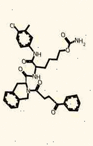 Cc1cc(NC(=O)C(CCCCOC(N)=O)NC(=O)[C@@H]2Cc3ccccc3CN2C(=O)CCC(=O)c2ccccc2)ccc1Cl